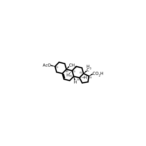 CC(=O)O[C@H]1CC[C@@]2(C)C(=CC[C@H]3[C@@H]4CC[C@H](C(=O)O)[C@@]4(C)CC[C@@H]32)C1